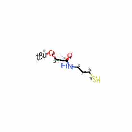 CC(C)(C)OCC(=O)NCCCS